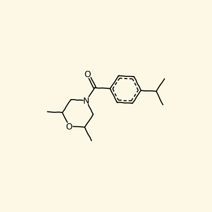 CC1CN(C(=O)c2ccc(C(C)C)cc2)CC(C)O1